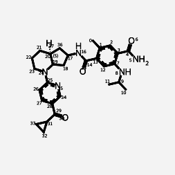 Cc1cc(C(N)=O)c(NC(C)C)cc1C(=O)NC1CC2[C@@H](CCCN2c2ccc(C(=O)C3CC3)cn2)C1